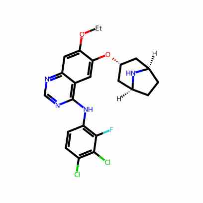 CCOc1cc2ncnc(Nc3ccc(Cl)c(Cl)c3F)c2cc1O[C@@H]1C[C@H]2CC[C@@H](C1)N2